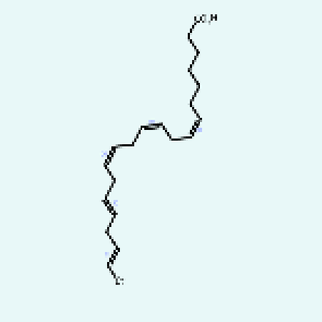 CC/C=C/C/C=C/C/C=C\C/C=C\C/C=C\CCCCCC(=O)O